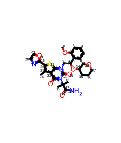 COc1ccccc1[C@H](Cn1c(=O)n(C(C)(C)C(N)=O)c(=O)c2c(C)c(-c3ncco3)sc21)OC1CCCOC1